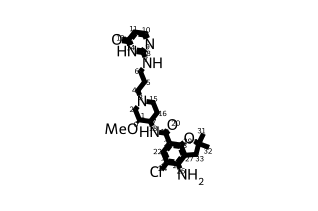 CO[C@H]1CN(CCCNc2nccc(=O)[nH]2)CCC1NC(=O)c1cc(Cl)c(N)c2c1OC(C)(C)C2